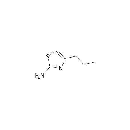 CCCc1csc(N)n1